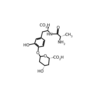 C[C@H](N)C(=O)N[C@@H](Cc1ccc(OC2C[C@@H](O)C[C@@H](C(=O)O)O2)c(O)c1)C(=O)O